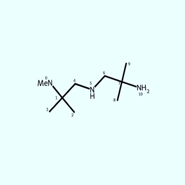 CNC(C)(C)CNCC(C)(C)N